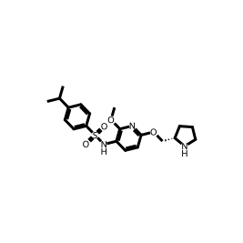 COc1nc(OC[C@@H]2CCCN2)ccc1NS(=O)(=O)c1ccc(C(C)C)cc1